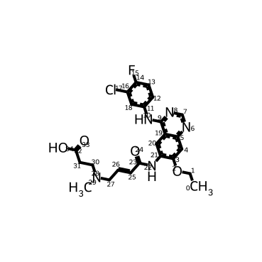 CCOc1cc2ncnc(Nc3ccc(F)c(Cl)c3)c2cc1NC(=O)/C=C/CN(C)CCC(=O)O